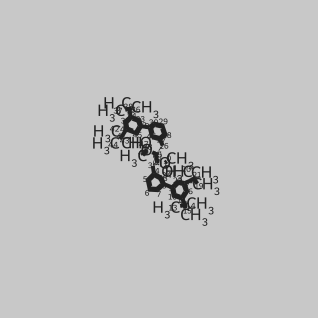 CO[C@H](Cc1cccc(-c2cc(C(C)(C)C)cc(C(C)(C)C)c2)c1O)[C@@H](Cc1cccc(-c2cc(C(C)(C)C)cc(C(C)(C)C)c2)c1O)OC